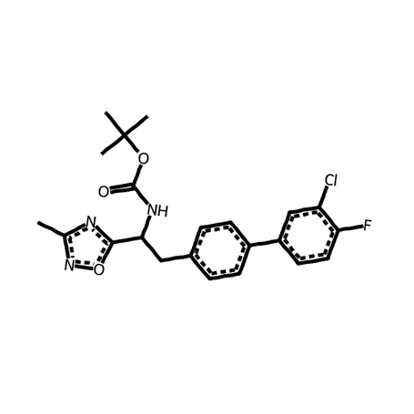 Cc1noc(C(Cc2ccc(-c3ccc(F)c(Cl)c3)cc2)NC(=O)OC(C)(C)C)n1